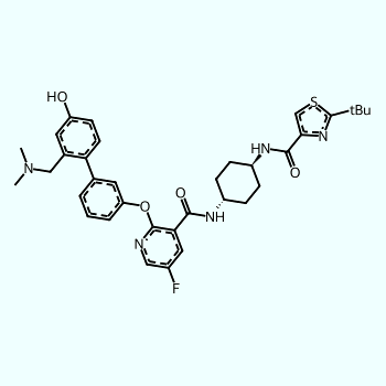 CN(C)Cc1cc(O)ccc1-c1cccc(Oc2ncc(F)cc2C(=O)N[C@H]2CC[C@H](NC(=O)c3csc(C(C)(C)C)n3)CC2)c1